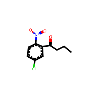 CCCC(=O)c1cc(Cl)ccc1[N+](=O)[O-]